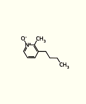 CCCCc1ccc[n+]([O-])c1C